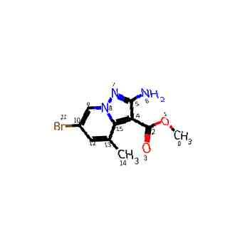 COC(=O)c1c(N)nn2cc(Br)cc(C)c12